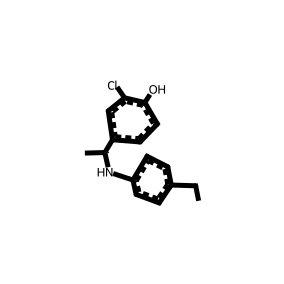 CCc1ccc(N[C](C)c2ccc(O)c(Cl)c2)cc1